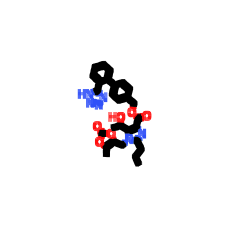 CCCc1nc(C(=O)OCc2ccc(-c3ccccc3-c3nnn[nH]3)cc2)c(C(C)O)n1Cc1oc(=O)oc1C